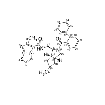 Cc1nc2sccn2c1C(=O)NC[C@@H]1[C@H]2CC(C)C[C@H]2CN1C(=O)c1ccccc1-c1ccccc1